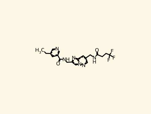 CCc1cncc(C(=O)NCc2cn3ncc(CNC(=O)CCC(F)(F)F)cc3n2)c1